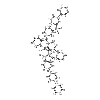 CC1(C)c2cc(-c3ccccc3)ccc2-c2ccc(N(c3ccccc3)c3ccc(-c4ccccc4-n4c5ccccc5c5ccc(-c6ccc(-c7ccccc7)cc6)cc54)cc3)cc21